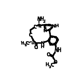 COC(=O)Nc1ccc2c(c1)NC(=O)[C@H](C)CCC[C@H](N)c1c[nH]c-2n1